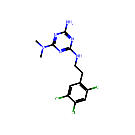 CN(C)c1nc(N)nc(NCCc2cc(Cl)c(Cl)cc2Cl)n1